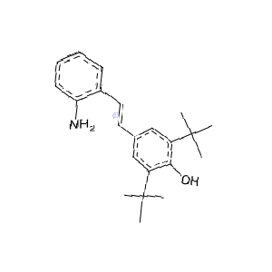 CC(C)(C)c1cc(/C=C/c2ccccc2N)cc(C(C)(C)C)c1O